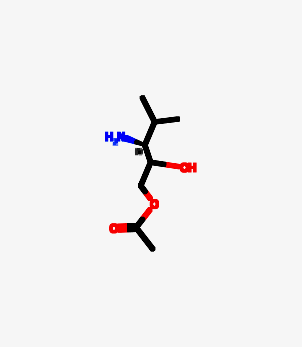 CC(=O)OCC(O)[C@@H](N)C(C)C